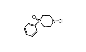 O=P1(c2ccccc2)CCN(Cl)CC1